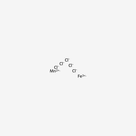 [Cl-].[Cl-].[Cl-].[Cl-].[Cl-].[Fe+3].[Mn+2]